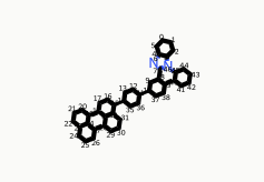 c1ccc2c(c1)nc1c3cc(-c4ccc(-c5ccc6c7cccc8cccc(c9cccc5c96)c87)cc4)ccc3c3ccccc3n21